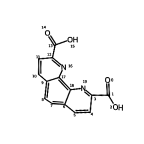 O=C(O)c1ccc2ccc3ccc(C(=O)O)nc3c2n1